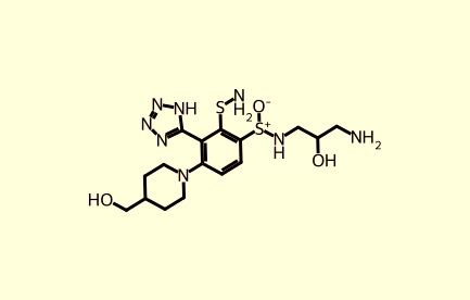 NCC(O)CN[S+]([O-])c1ccc(N2CCC(CO)CC2)c(-c2nnn[nH]2)c1SN